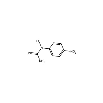 CCN(C(=N)N)c1ccc([N+](=O)[O-])cc1